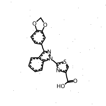 O=C(O)c1csc(-n2nc(-c3ccc4c(c3)OCO4)c3ccccc32)n1